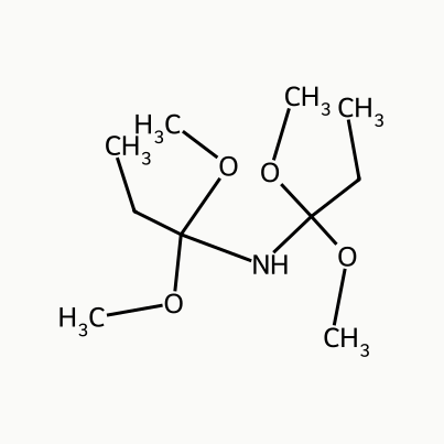 CCC(NC(CC)(OC)OC)(OC)OC